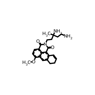 COc1ccc2c3c(c4c(cc13)CCC=C4)C(=O)N(CCC(C)(N)CCN)C2=O